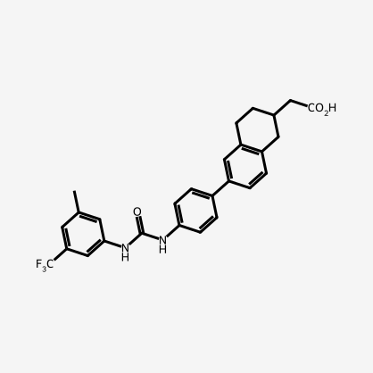 Cc1cc(NC(=O)Nc2ccc(-c3ccc4c(c3)CCC(CC(=O)O)C4)cc2)cc(C(F)(F)F)c1